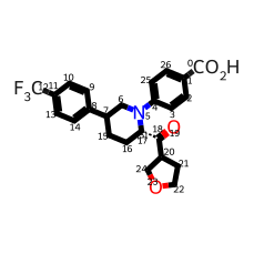 O=C(O)c1ccc(N2CC(c3ccc(C(F)(F)F)cc3)CC[C@H]2C(=O)C2CCOC2)cc1